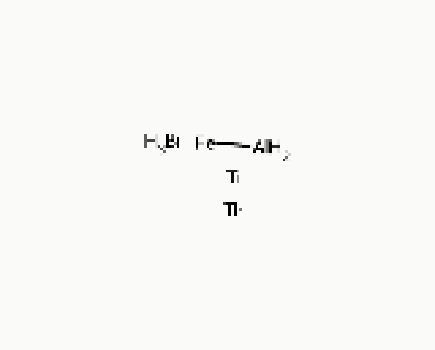 [AlH2][Fe].[BiH3].[Ti].[Tl]